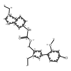 CCn1nc(-c2ccc(Cl)cc2OC)cc1COC(=O)Nc1ccc2c(c1)ncn2CC